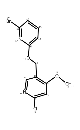 COc1cc(Cl)ncc1COc1cccc(Br)n1